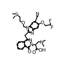 CN(C)CC(C(=O)O)n1nc(Cc2nc3cc(OCC(F)F)c(C#N)cc3n2COCC[Si](C)(C)C)c2ccccc2c1=O